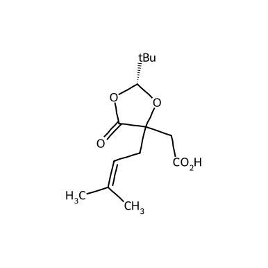 CC(C)=CCC1(CC(=O)O)O[C@@H](C(C)(C)C)OC1=O